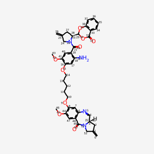 C=C1C[C@H]2C=Nc3cc(OCCCCCOc4cc(N)c(C(=O)N5CC(=C)C[C@H]5C5OC(=O)c6ccccc6O5)cc4OC)c(OC)cc3C(=O)N2C1